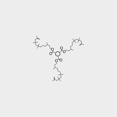 C=C(C)CC(C)(C)CC(C)(C)CCCC(C)CCOC(=O)c1cc(C(=O)OCCC(C)CCCC(C)(C)CC(C)(C)CC(=C)C)cc(C(=O)OCCC(C)CCCC(C)(C)CC(C)(C)CC(=C)C)c1